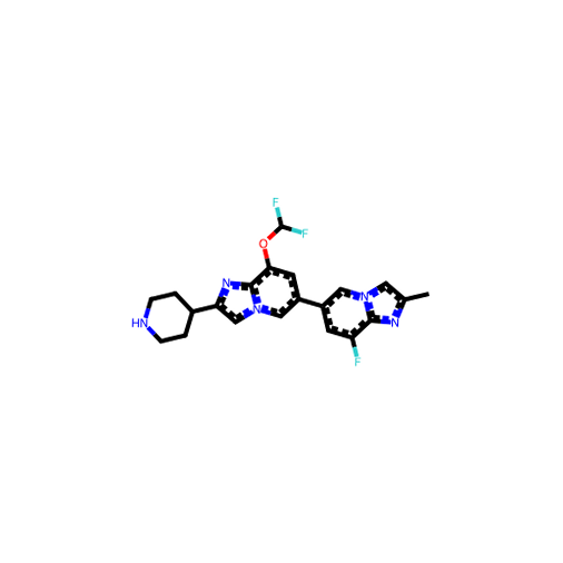 Cc1cn2cc(-c3cc(OC(F)F)c4nc(C5CCNCC5)cn4c3)cc(F)c2n1